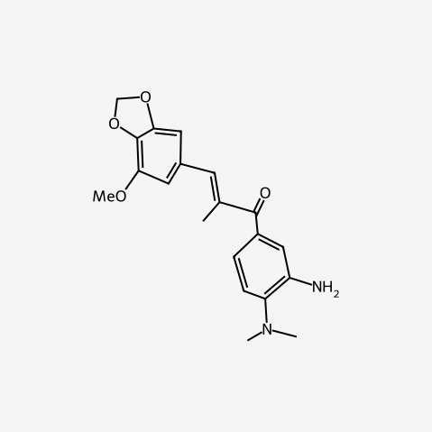 COc1cc(/C=C(\C)C(=O)c2ccc(N(C)C)c(N)c2)cc2c1OCO2